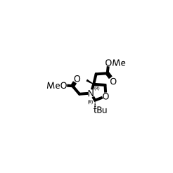 COC(=O)CN1[C@@H](C(C)(C)C)OC[C@@]1(C)CC(=O)OC